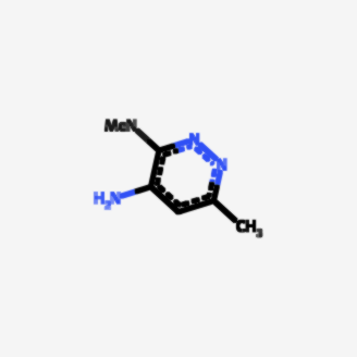 CNc1nnc(C)cc1N